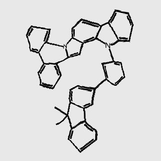 CC1(C)c2ccccc2-c2cc(-c3cccc(-n4c5ccccc5c5ccc6c(cc7c8ccccc8c8ccccc8n76)c54)c3)ccc21